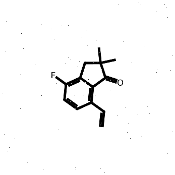 C=Cc1ccc(F)c2c1C(=O)C(C)(C)C2